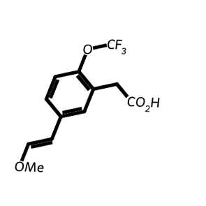 COC=Cc1ccc(OC(F)(F)F)c(CC(=O)O)c1